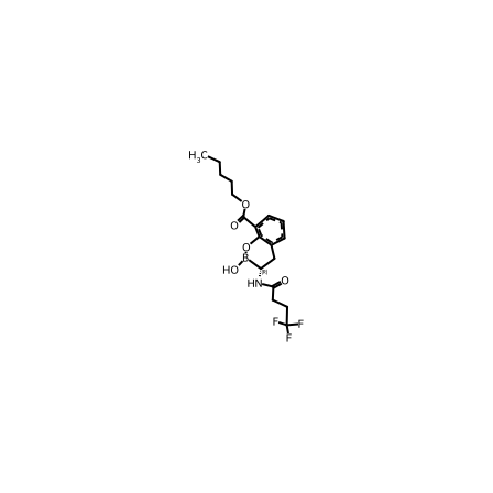 CCCCCOC(=O)c1cccc2c1OB(O)[C@@H](NC(=O)CCC(F)(F)F)C2